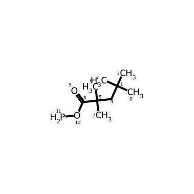 CC(C)(C)CC(C)(C)C(=O)OP